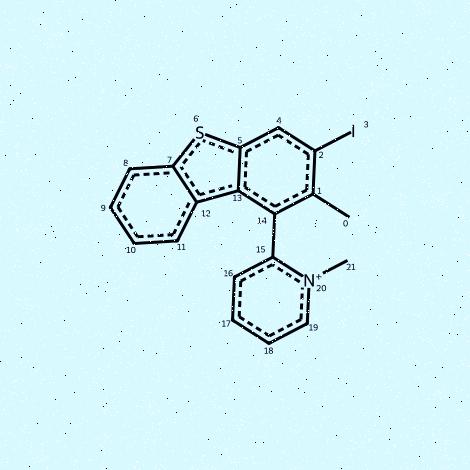 Cc1c(I)cc2sc3ccccc3c2c1-c1cccc[n+]1C